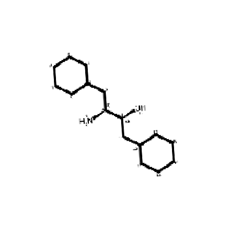 N[C@@H](CC1CCCCC1)[C@@H](O)CC1CCCCC1